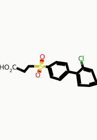 O=C(O)CCS(=O)(=O)c1ccc(-c2ccccc2Cl)cc1